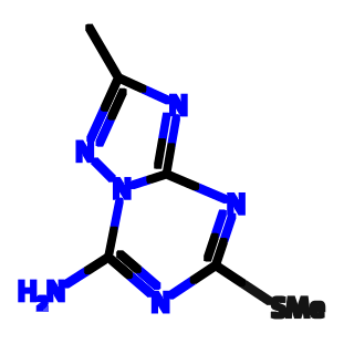 CSc1nc(N)n2nc(C)nc2n1